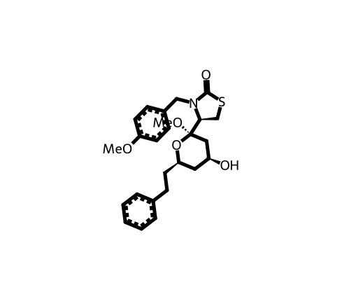 COc1ccc(CN2C(=O)SC[C@H]2[C@@]2(OC)C[C@@H](O)C[C@@H](CCc3ccccc3)O2)cc1